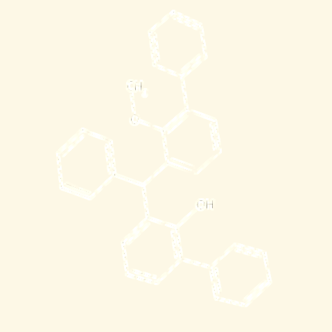 COc1c(-c2ccccc2)cccc1C(c1ccccc1)c1cccc(-c2ccccc2)c1O